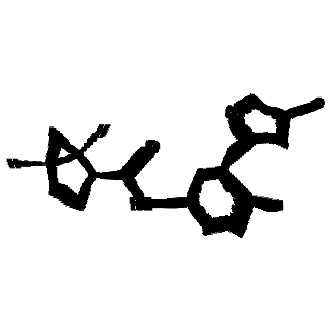 Cc1coc(-c2cc(NC(=O)[C@H]3CC[C@H]4C[C@H]43)ccc2C)n1